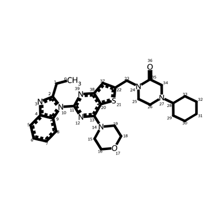 CCc1nc2ccccc2n1-c1nc(N2CCOCC2)c2sc(CN3CCN(C4CCCCC4)CC3=O)cc2n1